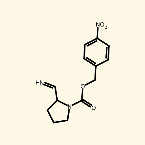 N=CC1[CH]CCN1C(=O)OCc1ccc([N+](=O)[O-])cc1